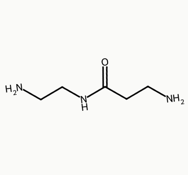 NCCNC(=O)CCN